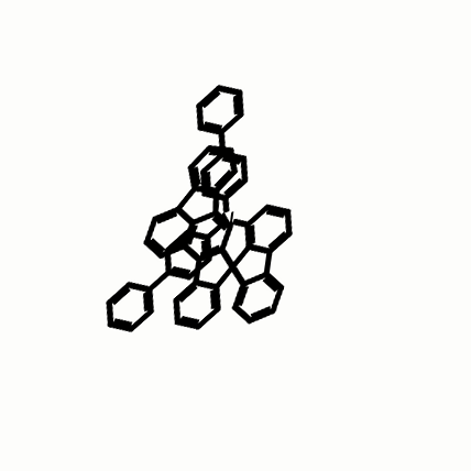 c1ccc(-c2ccc(N(c3ccc(-c4ccccc4)cc3)c3cccc4c3C3(c5ccccc5-4)c4ccccc4-c4c3cc3c5c(cccc45)-c4ccccc4-3)cc2)cc1